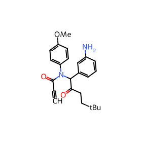 C#CC(=O)N(c1ccc(OC)cc1)C(C(=O)CCC(C)(C)C)c1cccc(N)c1